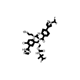 CC(C)(C)CCNC(=N)N(C(=O)c1ccc(-c2cnn(C(F)F)c2)cc1)[C@H](COC(=O)NC(C)(C)C(F)F)c1ccc(Cl)c(-c2ncn[nH]2)c1